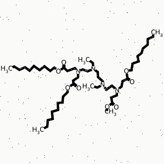 CCCCCCCCCCOC(=O)CCN(CCC(=O)OC)CCN(CC)CCCN(CC)CCN(CCC(=O)OCCCCCCCCCC)CCC(=O)OCCCCCCCCCC